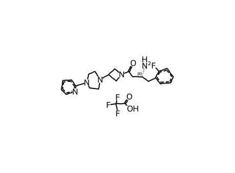 N[C@@H](CC(=O)N1CC(N2CCN(c3ccccn3)CC2)C1)Cc1ccccc1F.O=C(O)C(F)(F)F